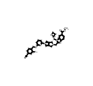 COC(=O)c1ccc2nc(CN3Cc4cn(-c5cccc(OCc6ccc(C#N)cc6F)n5)cc4C3)n(C[C@@H]3CCO3)c2c1